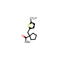 CC(C)COC(=O)C1(Cc2ccc(C(=O)O)s2)CCCC1